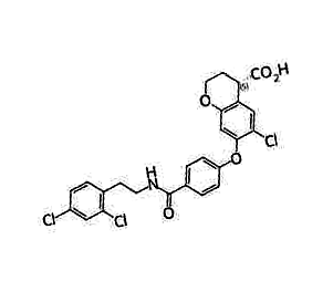 O=C(NCCc1ccc(Cl)cc1Cl)c1ccc(Oc2cc3c(cc2Cl)[C@@H](C(=O)O)CCO3)cc1